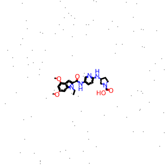 CCn1c(C(=O)Nc2ccc(N[C@H]3CCN(C(=O)O)C3)nc2)cc2c(OC)cc(OC)cc21